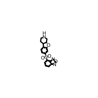 O=S(=O)(c1ccc2c(c1)OC1CNCCC21)c1cccc2nonc12